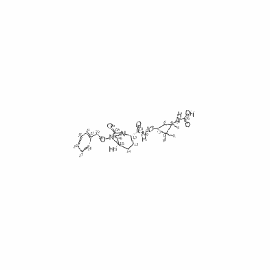 CC(C)(C)C(C)(CCONC(=O)[C@@H]1CC[C@@H]2CN1C(=O)N2OCc1ccccc1)NC(=O)O